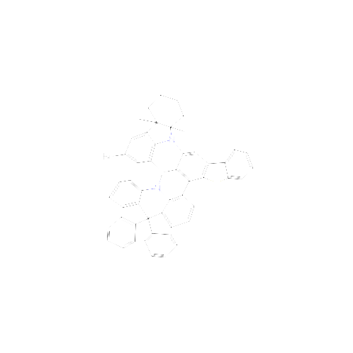 CC(C)(C)c1cc2c3c(c1)C1(C)CCCCC1(C)N3c1cc3c(sc4ccccc43)c3c1B2N1c2ccccc2C(c2ccccc2)(c2ccccc2)c2cccc-3c21